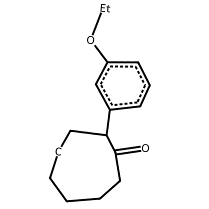 CCOc1cccc(C2CCCCCCC2=O)c1